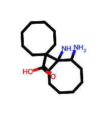 NC1CCCCCCC1(N)C1(C(=O)O)CCCCCCC1